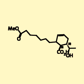 COC(=O)CCCCCCC1C=CC[C@H](C(C)O)[C@H]1C(=O)O